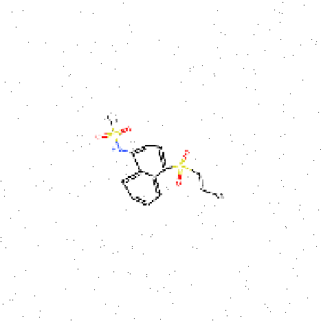 N#C/C=C/S(=O)(=O)c1ccc(NS(=O)(=O)C(F)(F)F)c2ccccc12